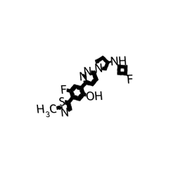 Cc1ncc(-c2cc(O)c(-c3ccc(N4CC[C@@H](N[C@H]5C[C@@H](F)C5)C4)nn3)cc2F)s1